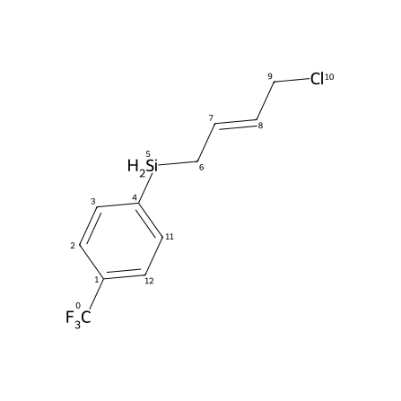 FC(F)(F)c1ccc([SiH2]CC=CCCl)cc1